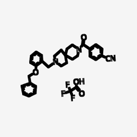 N#Cc1ccc(C(=O)N2CCC3(CCN(Cc4ccccc4OCc4ccccc4)CC3)CC2)cc1.O=C(O)C(F)(F)F